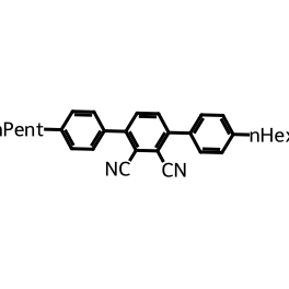 CCCCCCc1ccc(-c2ccc(-c3ccc(CCCCC)cc3)c(C#N)c2C#N)cc1